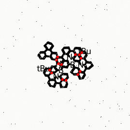 CC(C)(C)c1cc2c3c(c1)N(c1c(-c4ccccc4)cccc1-c1ccccc1)c1ccccc1B3c1cc3c(cc1N2c1ccc2c4ccccc4c4ccccc4c2c1)N(c1c(-c2ccccc2)cccc1-c1ccccc1)c1cc(C(C)(C)C)cc2c1B3c1ccccc1N2c1c(-c2ccccc2)cccc1-c1ccccc1